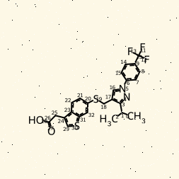 CC(C)c1nn(-c2ccc(C(F)(F)F)cc2)cc1CSc1ccc2c(CC(=O)O)csc2c1